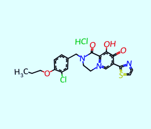 CCCOc1ccc(CN2CCn3cc(-c4nccs4)c(=O)c(O)c3C2=O)cc1Cl.Cl